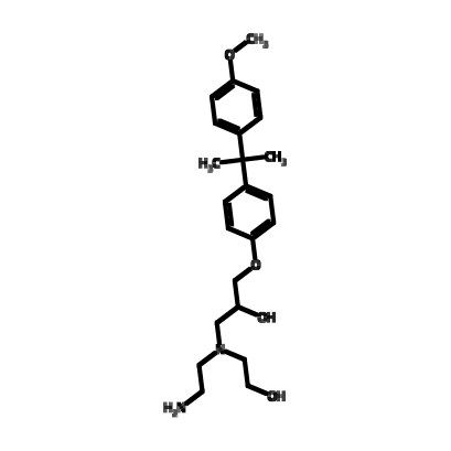 COc1ccc(C(C)(C)c2ccc(OCC(O)CN(CCN)CCO)cc2)cc1